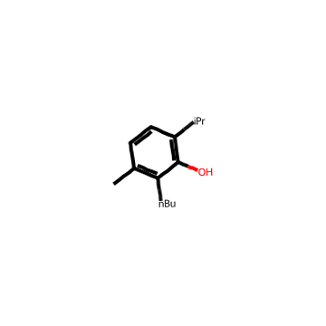 CCCCc1c(C)ccc(C(C)C)c1O